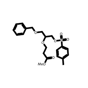 COC(=O)CCOC(COCc1ccccc1)COS(=O)(=O)c1ccc(C)cc1